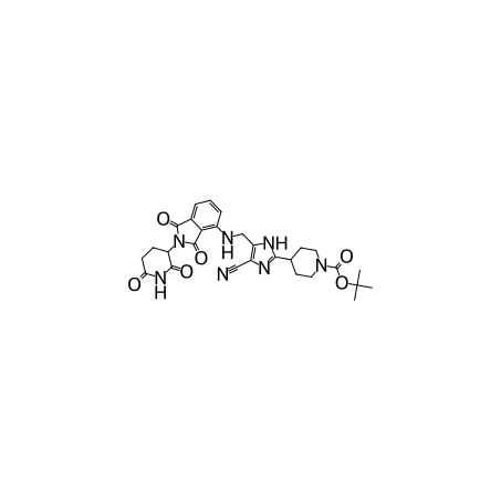 CC(C)(C)OC(=O)N1CCC(c2nc(C#N)c(CNc3cccc4c3C(=O)N(C3CCC(=O)NC3=O)C4=O)[nH]2)CC1